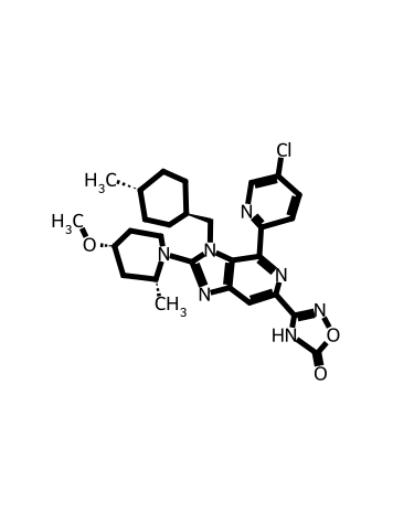 CO[C@@H]1CCN(c2nc3cc(-c4noc(=O)[nH]4)nc(-c4ccc(Cl)cn4)c3n2C[C@H]2CC[C@H](C)CC2)[C@H](C)C1